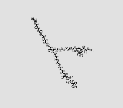 [N-]=[N+]=NCCOCCOCCOCCOCCC(=O)N(CCOCCOCCOCCCCCC(=O)NCCNC(=O)O)CCOCCOCCOCCC(CCC(=O)NCO)NC(=O)O